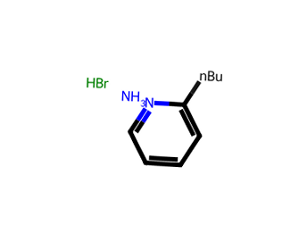 Br.CCCCc1ccccn1.N